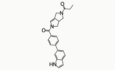 CCC(=O)N1CC2=CN(C(=O)c3ccc(-c4ccc5cc[nH]c5c4)cc3)CC2C1